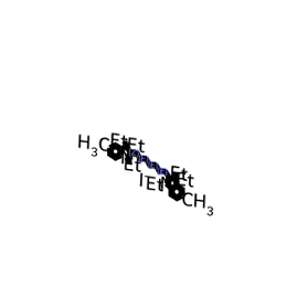 CCN1\C(=C/C=C/C=C/C=C/C2=[N+](CC)c3ccc(C)cc3C2(CC)CC)C(CC)(CC)c2cc(C)ccc21.[I-]